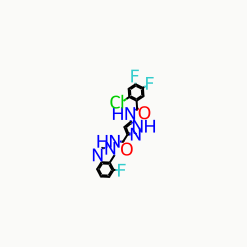 O=C(NN1C=Nc2cccc(F)c2C1)c1cc(NC(=O)c2cc(F)c(F)cc2Cl)[nH]n1